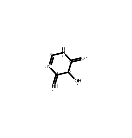 N=C1N=CNC(=O)C1O